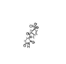 O=C1CCC(N2Cc3ccc(S(=O)(=O)Cl)cc3C2=O)C(=O)N1